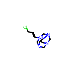 ClCC=C[N+]12CN3CN(CN(C3)C1)C2